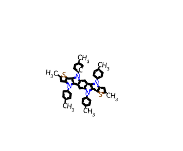 Cc1ccc(-n2c3cc(C)sc3c3c2c2cc4c(cc2n3-c2ccc(C)cc2)c2c(c3sc(C)cc3n2-c2ccc(C)cc2)n4-c2ccc(C)cc2)cc1